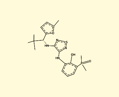 Cc1ccc([C@H](Nc2nsnc2Nc2cccc(P(C)(C)=O)c2O)C(C)(C)C)o1